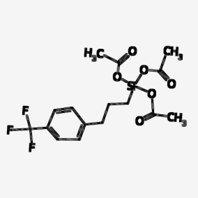 CC(=O)O[Si](CCCc1ccc(C(F)(F)F)cc1)(OC(C)=O)OC(C)=O